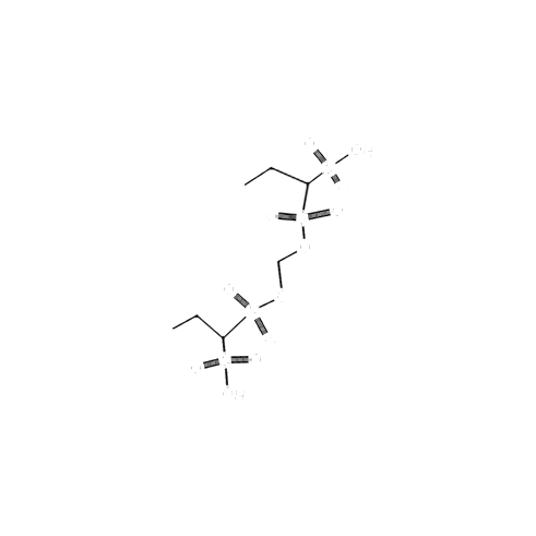 CCC(S(=O)(=O)O)S(=O)(=O)OCOS(=O)(=O)C(CC)S(=O)(=O)O